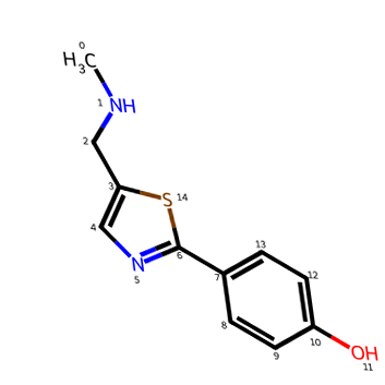 CNCc1cnc(-c2ccc(O)cc2)s1